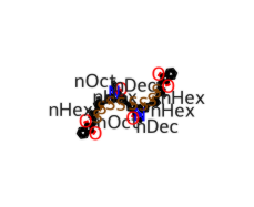 CCCCCCCCCCC(CCCCCCCC)Cn1c(=O)c2cc(-c3cc4c(=O)n(CC(CCCCCCCC)CCCCCCCCCC)c5cc(-c6sc(-c7sc(C=C8C(=O)c9ccccc9C8=O)cc7CCCCCC)cc6CCCCCC)sc5c4s3)sc2c2sc(-c3sc(-c4sc(C=C5C(=O)c6ccccc6C5=O)cc4CCCCCC)cc3CCCCCC)cc21